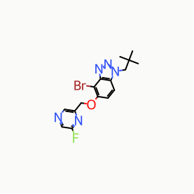 CC(C)(C)Cn1nnc2c(Br)c(OCc3cncc(F)n3)ccc21